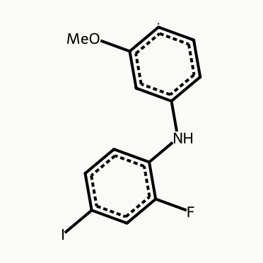 COc1[c]ccc(Nc2ccc(I)cc2F)c1